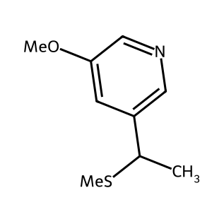 COc1cncc(C(C)SC)c1